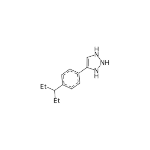 CCC(CC)c1ccc(C2=CNNN2)cc1